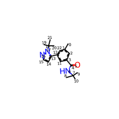 Cc1cc(C(=O)NC(C)(C)C)cc(-c2ccnn2C(C)(C)C)c1